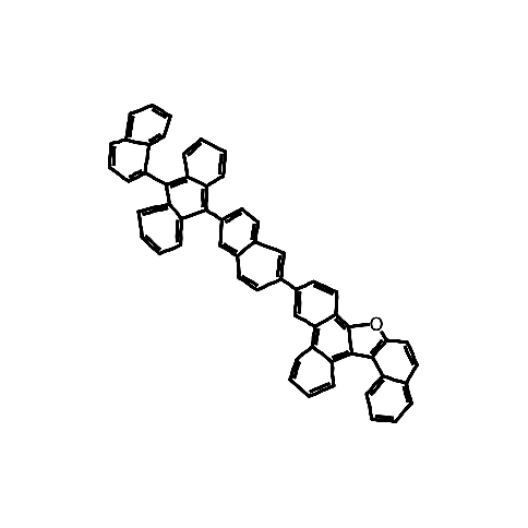 c1ccc2c(-c3c4ccccc4c(-c4ccc5cc(-c6ccc7c(c6)c6ccccc6c6c7oc7ccc8ccccc8c76)ccc5c4)c4ccccc34)cccc2c1